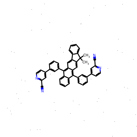 CC1(C)c2ccccc2-c2cc3c(-c4cccc(-c5ccnc(C#N)c5)c4)c4ccccc4c(-c4cccc(-c5ccnc(C#N)c5)c4)c3cc21